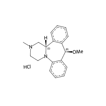 CO[C@@H]1c2ccccc2[C@H]2CN(C)CCN2c2ccccc21.Cl